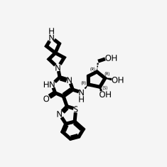 O=c1[nH]c(N2CC3(CNC3)C2)nc(N[C@@H]2C[C@H](CO)[C@@H](O)[C@H]2O)c1-c1nc2ccccc2s1